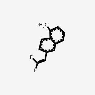 [CH2]c1cccc2cc(C=C(F)F)ccc12